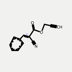 C#CCOC(=O)/C(C#N)=C/c1ccccc1